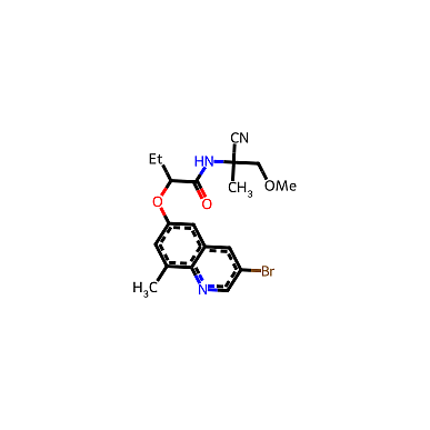 CCC(Oc1cc(C)c2ncc(Br)cc2c1)C(=O)NC(C)(C#N)COC